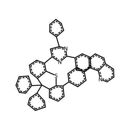 c1ccc(-c2cc(-c3cccc4c3Sc3c(-c5ccc(-c6cccc7cccnc67)cc5)cccc3C4(c3ccccc3)c3ccccc3)nc(-c3ccccc3)n2)cc1